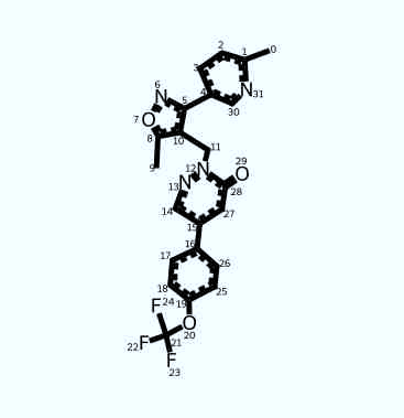 Cc1ccc(-c2noc(C)c2Cn2ncc(-c3ccc(OC(F)(F)F)cc3)cc2=O)cn1